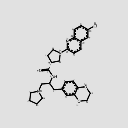 O=C(NC(Cc1ccc2c(c1)OCCO2)CN1CCCC1)[C@@H]1CCN(c2ccc3cc(Cl)ccc3n2)C1